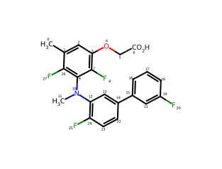 Cc1cc(OCC(=O)O)c(F)c(N(C)c2cc(-c3cccc(F)c3)ccc2F)c1F